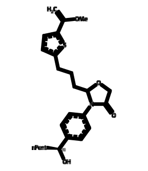 C=C(OC)c1ccc(CCCC2OCC(=O)N2c2ccc([C@@H](O)CCCCC)cc2)s1